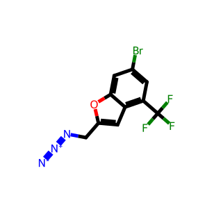 [N-]=[N+]=NCc1cc2c(C(F)(F)F)cc(Br)cc2o1